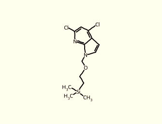 C[Si](C)(C)CCOCn1ccc2c(Cl)cc(Cl)nc21